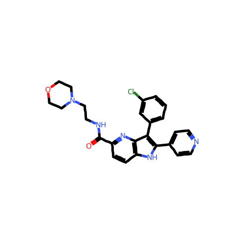 O=C(NCCN1CCOCC1)c1ccc2[nH]c(-c3ccncc3)c(-c3cccc(Cl)c3)c2n1